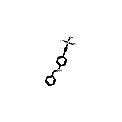 CC(C)[Si](C#Cc1ccc(NCc2ccccc2)cc1)(C(C)C)C(C)C